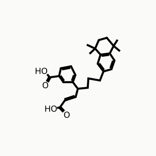 CC1(C)CCC(C)(C)c2cc(CCCC(/C=C/C(=O)O)c3cccc(C(=O)O)c3)ccc21